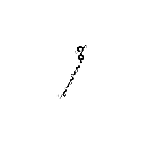 COCCOCCOCCOCCOCCOCc1ccc(-n2cc(Cl)ccc2=O)cc1